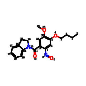 CCCCOc1cc(N=O)c(C(=O)N2CCc3ccccc32)cc1OC